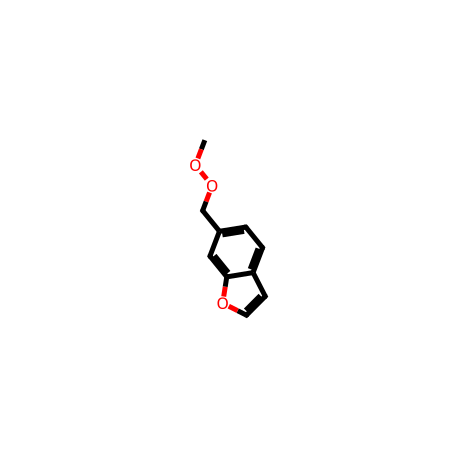 COOCc1ccc2ccoc2c1